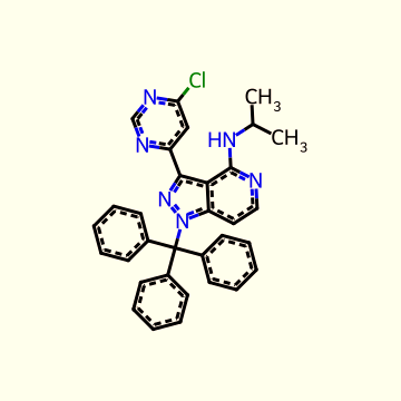 CC(C)Nc1nccc2c1c(-c1cc(Cl)ncn1)nn2C(c1ccccc1)(c1ccccc1)c1ccccc1